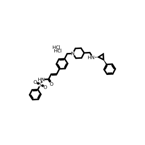 Cl.Cl.O=C(/C=C/c1ccc(CN2CCC(CN[C@@H]3C[C@H]3c3ccccc3)CC2)cc1)NS(=O)(=O)c1ccccc1